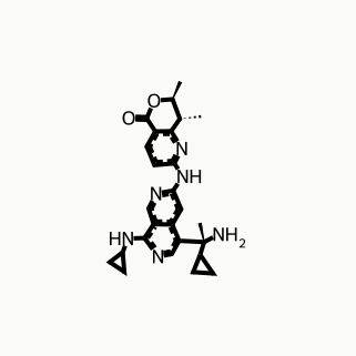 C[C@@H]1OC(=O)c2ccc(Nc3cc4c([C@](C)(N)C5CC5)cnc(NC5CC5)c4cn3)nc2[C@H]1C